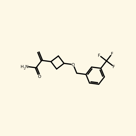 C=C(C(N)=O)C1CC(OCc2cccc(C(F)(F)F)c2)C1